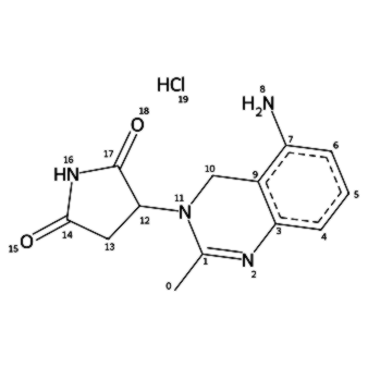 CC1=Nc2cccc(N)c2CN1C1CC(=O)NC1=O.Cl